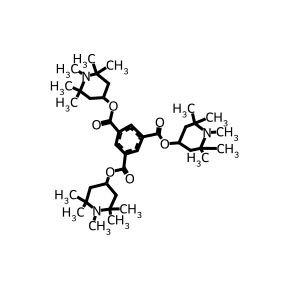 CN1C(C)(C)CC(OC(=O)c2cc(C(=O)OC3CC(C)(C)N(C)C(C)(C)C3)cc(C(=O)OC3CC(C)(C)N(C)C(C)(C)C3)c2)CC1(C)C